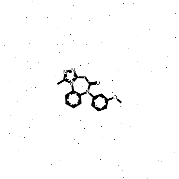 COc1cccc(N2C(=O)Cc3nnc(C)n3-c3ccccc32)c1